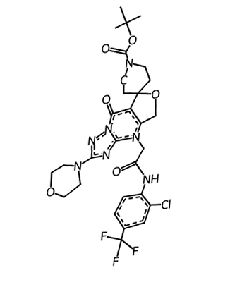 CC(C)(C)OC(=O)N1CCC2(CC1)OCc1c2c(=O)n2nc(N3CCOCC3)nc2n1CC(=O)Nc1ccc(C(F)(F)F)cc1Cl